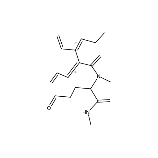 C=C/C=C(C(=C)N(C)C(CCC=O)C(=C)NC)\C(C=C)=C/CC